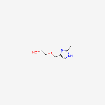 Cc1nc(COCCO)c[nH]1